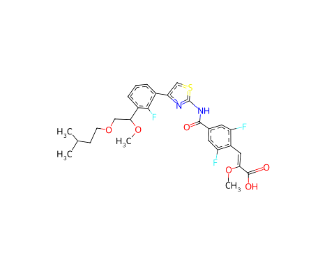 COC(=Cc1c(F)cc(C(=O)Nc2nc(-c3cccc(C(COCCC(C)C)OC)c3F)cs2)cc1F)C(=O)O